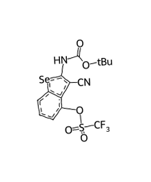 CC(C)(C)OC(=O)Nc1[se]c2cccc(OS(=O)(=O)C(F)(F)F)c2c1C#N